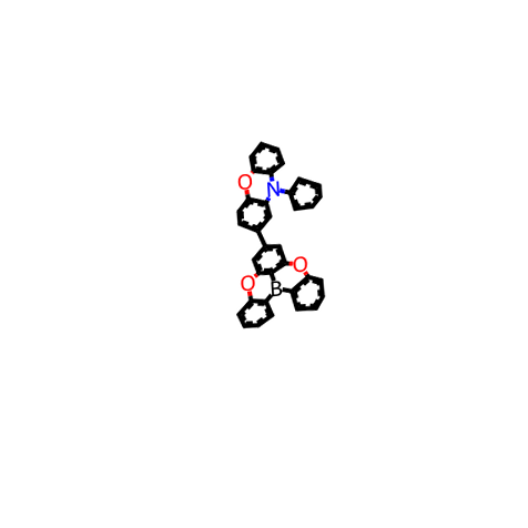 c1ccc(N2c3ccccc3Oc3ccc(-c4cc5c6c(c4)Oc4ccccc4B6c4ccccc4O5)cc32)cc1